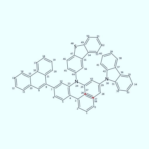 c1ccc(-c2ccc(-c3cc4ccccc4c4ccccc34)cc2N(c2cccc(-n3c4ccccc4c4ccccc43)c2)c2ccc3sc4ccccc4c3c2)cc1